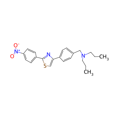 CCCN(CCC)Cc1ccc(-c2csc(-c3ccc([N+](=O)[O-])cc3)n2)cc1